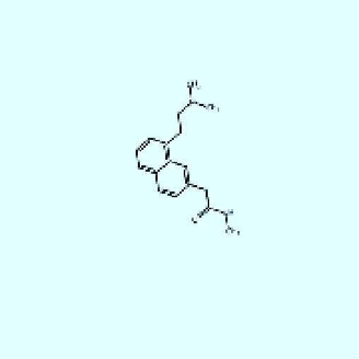 CNC(=O)Cc1ccc2cccc(CCN(C)C)c2c1